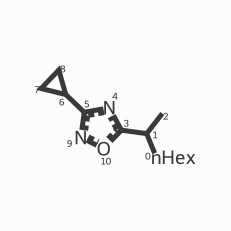 CCCCCCC(C)c1nc(C2CC2)no1